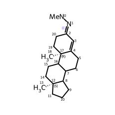 CN/N=C1/C=C2CCC3C4CCC[C@@]4(C)CCC3[C@@]2(C)CC1